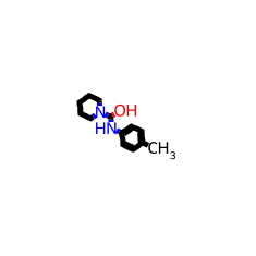 Cc1ccc(NC(O)N2CCCCC2)cc1